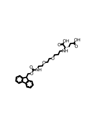 O=C(O)CC[C@H](NCCCOCCOCCNC(=O)OCC1c2ccccc2-c2ccccc21)C(=O)O